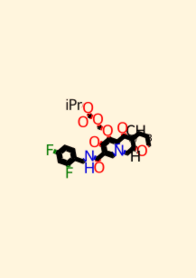 CC(C)OC(=O)OCOc1c2n(cc(C(=O)NCc3ccc(F)cc3F)c1=O)C[C@@H]1OCCC[C@]1(C)C2=O